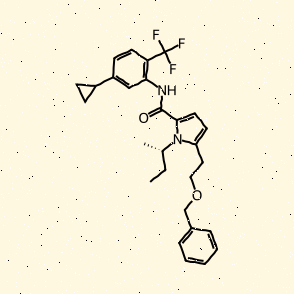 CC[C@H](C)n1c(CCOCc2ccccc2)ccc1C(=O)Nc1cc(C2CC2)ccc1C(F)(F)F